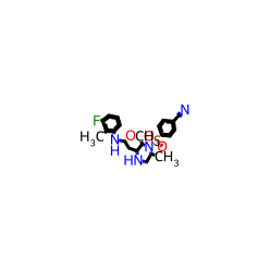 Cc1c(F)cccc1NC(=O)CC1NCC(C)N(S(=O)(=O)c2ccc(C#N)cc2)C1C